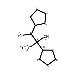 CCCC(C1CCCC1)C(C#N)(C(=O)OCC)C1CCCC1